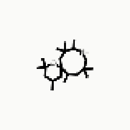 CC1CC(C)(C)OC2(C1)CC(C)(C)C(C)NCC(C)(C)CC2C